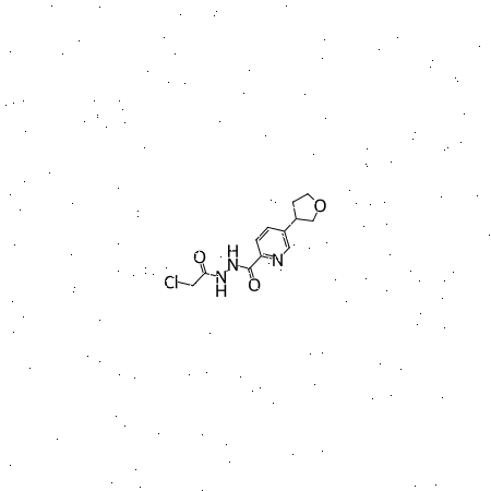 O=C(CCl)NNC(=O)c1ccc(C2CCOC2)cn1